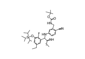 CCc1cc(O[Si](C(C)C)(C(C)C)C(C)C)c(F)c(C(Nc2ccc(C#N)c(CNC(=O)OC(C)(C)C)c2)C(=N)SC)c1